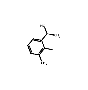 Cc1cccc([C@H](C)O)c1I